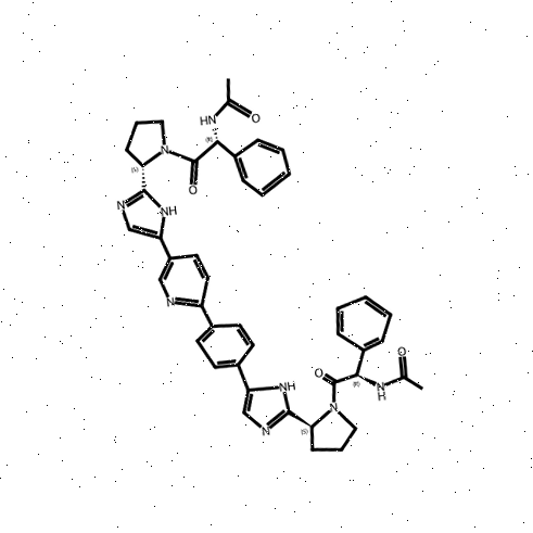 CC(=O)N[C@@H](C(=O)N1CCC[C@H]1c1ncc(-c2ccc(-c3ccc(-c4cnc([C@@H]5CCCN5C(=O)[C@H](NC(C)=O)c5ccccc5)[nH]4)cn3)cc2)[nH]1)c1ccccc1